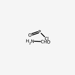 NC=O.O=PCl